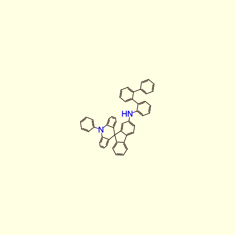 c1ccc(-c2ccccc2-c2ccccc2Nc2ccc3c(c2)C2(c4ccccc4-3)c3ccccc3N(c3ccccc3)c3ccccc32)cc1